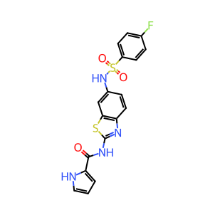 O=C(Nc1nc2ccc(NS(=O)(=O)c3ccc(F)cc3)cc2s1)c1ccc[nH]1